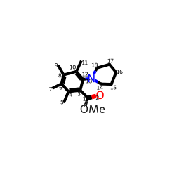 COC(=O)c1c(C)c(C)c(C)c(C)c1N1CCCCC1